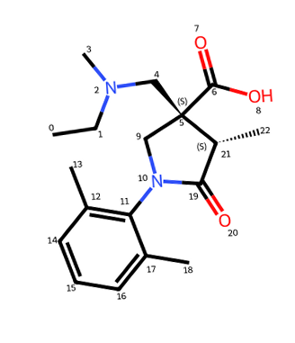 CCN(C)C[C@]1(C(=O)O)CN(c2c(C)cccc2C)C(=O)[C@H]1C